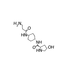 NCCC(=O)N[C@H]1CC[C@H](NC(=O)[C@H]2C[C@H](O)CN2)CC1